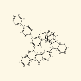 c1ccc(-c2ccc(-c3nc(-c4cc5ccccc5c5oc6ccc(-n7c8ccccc8c8ccccc87)cc6c45)nc4c3sc3ccccc34)cc2)cc1